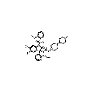 CCOc1ncccc1C1(OC(=O)ON2CCN(C3CCN(C)CC3)CC2)C(=O)N(S(=O)(=O)c2ccccc2OC)c2cc(Cl)c(F)cc21